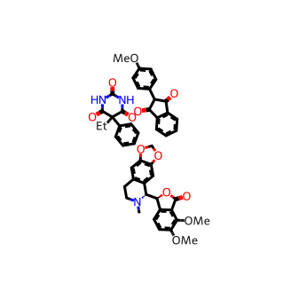 CCC1(c2ccccc2)C(=O)NC(=O)NC1=O.COc1ccc(C2C(=O)c3ccccc3C2=O)cc1.COc1ccc2c(c1OC)C(=O)O[C@@H]2[C@H]1c2cc3c(cc2CCN1C)OCO3